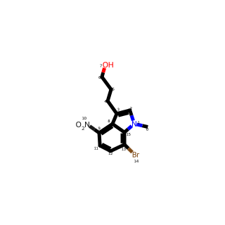 Cn1cc(CCCO)c2c([N+](=O)[O-])ccc(Br)c21